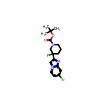 CC(C)(C)OC(=O)N1CCCC(F)(c2cn3ccc(Br)cc3n2)C1